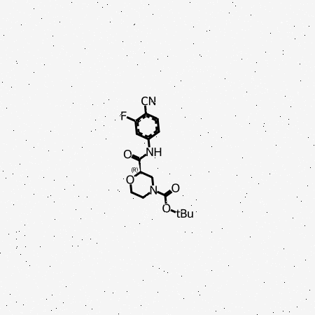 CC(C)(C)OC(=O)N1CCO[C@@H](C(=O)Nc2ccc(C#N)c(F)c2)C1